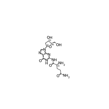 NC(=O)CC[C@H](N)C(=O)Nc1nc2c(ncn2[C@H]2C[C@H](O)[C@@H](CO)O2)c(=O)[nH]1